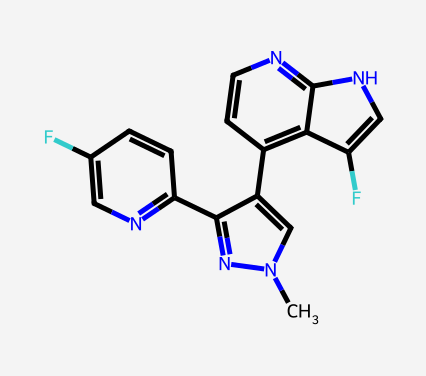 Cn1cc(-c2ccnc3[nH]cc(F)c23)c(-c2ccc(F)cn2)n1